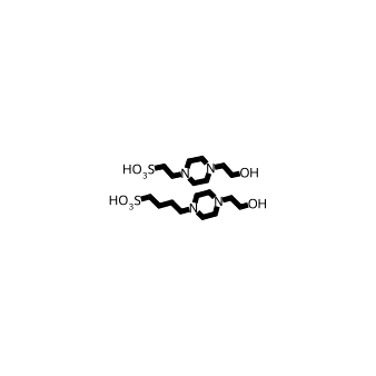 O=S(=O)(O)CCCCN1CCN(CCO)CC1.O=S(=O)(O)CCN1CCN(CCO)CC1